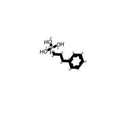 O[PH](O)(O)CCCc1ccccc1